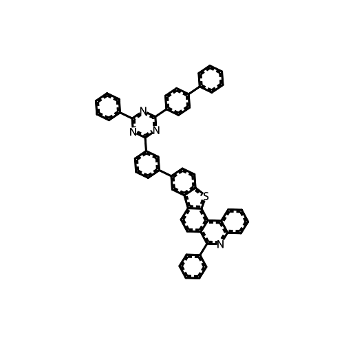 c1ccc(-c2ccc(-c3nc(-c4ccccc4)nc(-c4cccc(-c5ccc6sc7c(ccc8c(-c9ccccc9)nc9ccccc9c87)c6c5)c4)n3)cc2)cc1